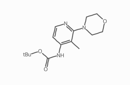 Cc1c(NC(=O)OC(C)(C)C)ccnc1N1CCOCC1